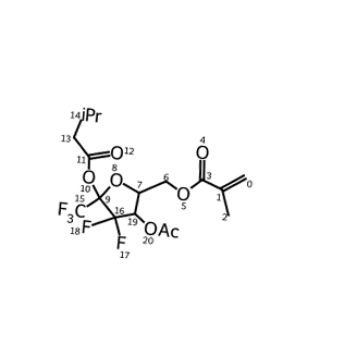 C=C(C)C(=O)OCC1OC(OC(=O)CC(C)C)(C(F)(F)F)C(F)(F)C1OC(C)=O